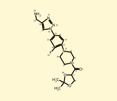 CC1(C)OCC(C(=O)N2CCN(c3ccc(-n4cc(CN)nn4)cc3F)CC2)O1